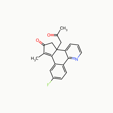 CC(=O)CC12CC(=O)C(C)=C1c1cc(F)ccc1-c1ncccc12